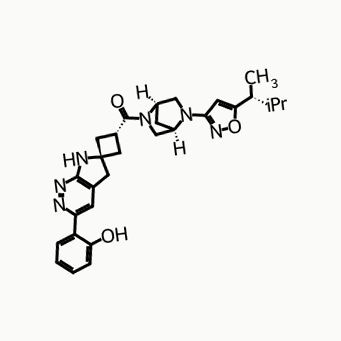 CC(C)[C@@H](C)c1cc(N2C[C@H]3C[C@@H]2CN3C(=O)[C@H]2C[C@]3(Cc4cc(-c5ccccc5O)nnc4N3)C2)no1